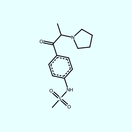 CC(C(=O)c1ccc(NS(C)(=O)=O)cc1)N1CCCC1